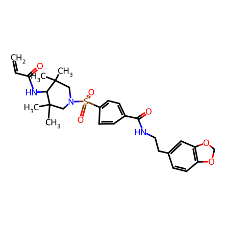 C=CC(=O)NC1C(C)(C)CN(S(=O)(=O)c2ccc(C(=O)NCCc3ccc4c(c3)OCO4)cc2)CC1(C)C